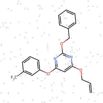 C=CCOc1cc(Oc2cccc(C(F)(F)F)c2)nc(OCc2ccccc2)n1